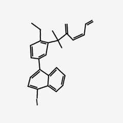 C=C/C=C\C(=C)C(C)(C)c1cc(-c2ccc(I)c3ccccc23)ccc1CC